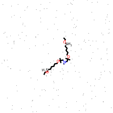 CCO[SiH2]CCCCCOC(C)(C)CN(C)CC(C)(C)OCCCCC[SiH2]OCC